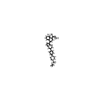 CC(C)(C)OC(=O)N1CCN(c2ccc(-c3cnc4c(-c5ccc(/C(N)=N\O)c6ccccc56)cnn4c3)cc2)CC1